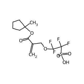 C=C(COC(F)(F)C(F)(F)S(=O)(=O)O)C(=O)OC1(C)CCCC1